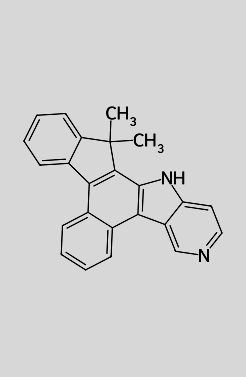 CC1(C)c2ccccc2-c2c1c1[nH]c3ccncc3c1c1ccccc21